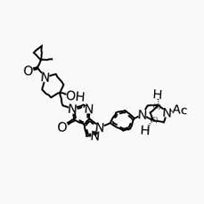 CC(=O)N1C[C@@H]2C[C@H]1CN2c1ccc(-n2ncc3c(=O)n(CC4(O)CCN(C(=O)C5(C)CC5)CC4)cnc32)cc1